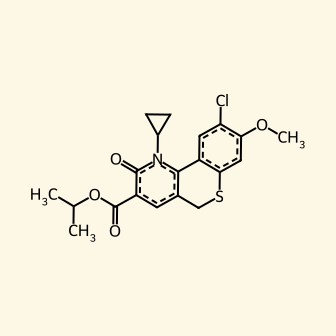 COc1cc2c(cc1Cl)-c1c(cc(C(=O)OC(C)C)c(=O)n1C1CC1)CS2